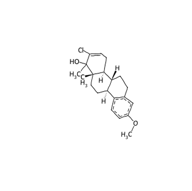 COc1ccc2c(c1)CC[C@@H]1[C@@H]2CC[C@@]2(C)[C@H]1CC=C(Cl)C2(C)O